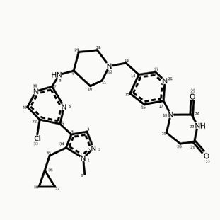 Cn1ncc(-c2nc(NC3CCN(Cc4ccc(N5CCC(=O)NC5=O)nc4)CC3)ncc2Cl)c1CC1CC1